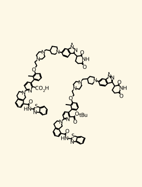 Cc1c(OCCN2CCN(CC3CCN(c4ccc5c(C6CCC(=O)NC6=O)nn(C)c5c4)CC3)CC2)cccc1-c1ccc(N2CCc3cccc(C(=O)Nc4nc5ccccc5s4)c3C2)nc1C(=O)O.Cc1c(OCCN2CCN(CC3CCN(c4ccc5c(C6CCC(=O)NC6=O)nn(C)c5c4)CC3)CC2)cccc1-c1ccc(N2CCc3cccc(C(=O)Nc4nc5ccccc5s4)c3C2)nc1C(=O)OC(C)(C)C